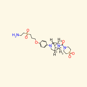 CC1C(C)[C@H]2CN(C(=O)N3CCS(=O)(=O)CC3)C[C@@H]1CN2c1ccc(OCCCS(=O)(=O)CCN)cc1